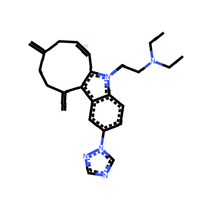 C=C1C/C=C\c2c(c3cc(-n4cncn4)ccc3n2CCN(CC)CC)C(=C)CC1